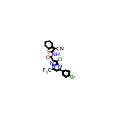 N#Cc1c(NC(=O)c2nn3c(C(F)(F)F)cc(-c4ccc(Br)cc4)nc3c2Cl)sc2c1CCCC2